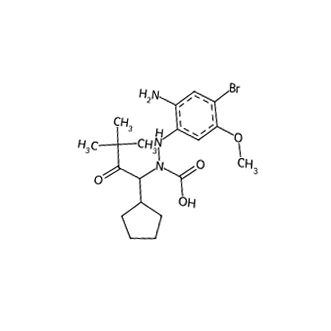 COc1cc(NN(C(=O)O)C(C(=O)C(C)(C)C)C2CCCC2)c(N)cc1Br